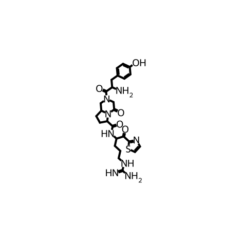 N=C(N)NCCCC(NC(=O)C1CCC2CN(C(=O)C(N)Cc3ccc(O)cc3)CC(=O)N21)C(=O)c1nccs1